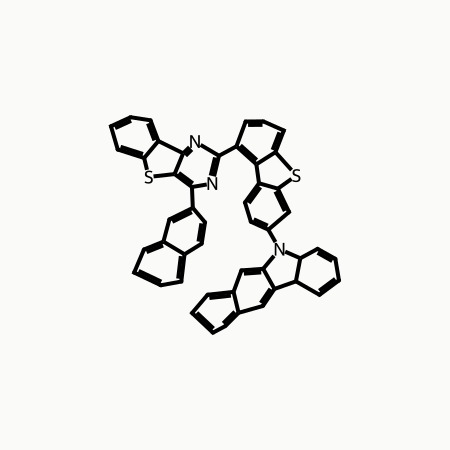 C1=CC2c3cc4ccccc4cc3N(c3ccc4c(c3)sc3cccc(-c5nc(-c6ccc7ccccc7c6)c6sc7ccccc7c6n5)c34)C2C=C1